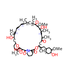 CO[C@@H]1C(=O)[C@H](C)C[C@H](C)/C=C/C=C/C=C(\C)C(O)CC2CC[C@@H](C)[C@@](O)(O2)C(=O)C(=O)N2CCCC[C@H]2C(=O)O[C@H]([C@H](C)C[C@@H]2CCC(O)[C@H](OC)C2)CC(=O)[C@H](C)/C=C(\C)[C@H]1O